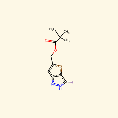 CC(C)(C)C(=O)OCc1cc2n[nH]c(I)c2s1